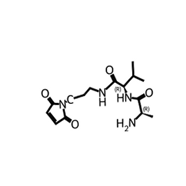 CC(C)[C@@H](NC(=O)[C@@H](C)N)C(=O)NCCCN1C(=O)C=CC1=O